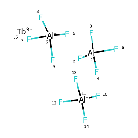 [F][Al-]([F])([F])[F].[F][Al-]([F])([F])[F].[F][Al-]([F])([F])[F].[Tb+3]